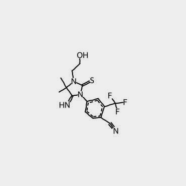 CC1(C)C(=N)N(c2ccc(C#N)c(C(F)(F)F)c2)C(=S)N1CCO